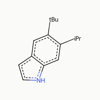 CC(C)c1cc2[nH]ccc2cc1C(C)(C)C